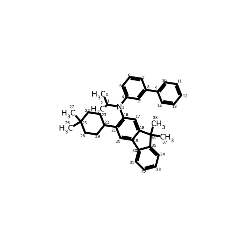 CC(C)N(c1cccc(-c2ccccc2)c1)c1cc2c(cc1C1CCC(C)(C)CC1)-c1ccccc1C2(C)C